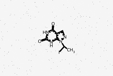 CC(I)n1ncc2c(=O)[nH]c(=O)[nH]c21